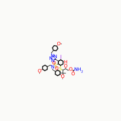 COc1ccc(CN(Cc2ccc(OC)cc2)S(=O)(=O)c2c(SC(C(O)COC(N)=O)C(C)(C)C)ccc(I)c2-c2nnn(Cc3ccc(OC)cc3)n2)cc1